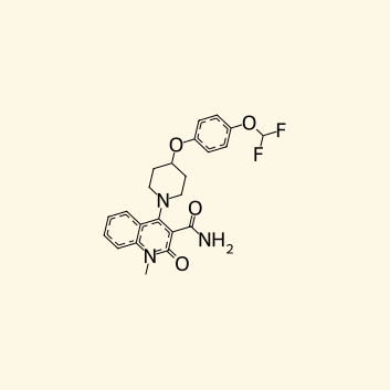 Cn1c(=O)c(C(N)=O)c(N2CCC(Oc3ccc(OC(F)F)cc3)CC2)c2ccccc21